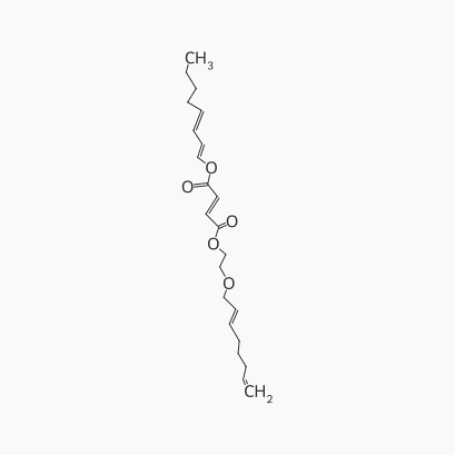 C=CCCCC=CCOCCOC(=O)C=CC(=O)OC=CC=CCCCC